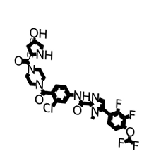 Cn1c(-c2ccc(OC(F)F)c(F)c2F)cnc1C(=O)Nc1ccc(C(=O)N2CCN(C(=O)[C@@H]3C[C@@H](O)CN3)CC2)c(Cl)c1